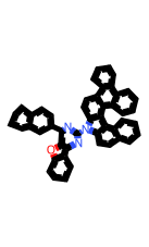 c1ccc2cc(-c3nc(-n4c5ccc6ccccc6c5c5c6c7ccccc7c7ccccc7c6ccc54)nc4c3oc3ccccc34)ccc2c1